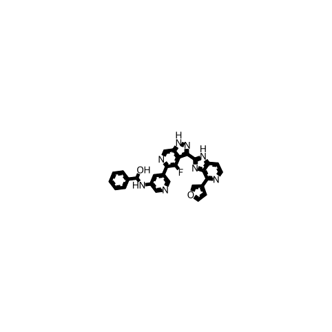 OC(Nc1cncc(-c2ncc3[nH]nc(-c4nc5c(-c6ccoc6)nccc5[nH]4)c3c2F)c1)c1ccccc1